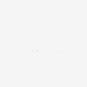 Cc1cccc(-c2nc(C(=O)O)co2)c1C